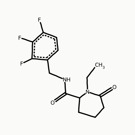 CCN1C(=O)CCCC1C(=O)NCc1ccc(F)c(F)c1F